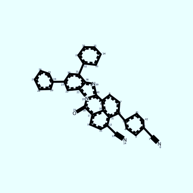 N#Cc1ccc(-c2ccc3c4c2c(C#N)ccc4c(=O)n2c4cc(-c5ccccc5)cc(-c5ccccc5)c4nc32)cc1